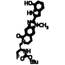 Cn1c(-c2cc3cccc(O)c3[nH]2)nc2cc3c(cc21)CCN(C[C@@H](CF)NC(=O)OC(C)(C)C)C3=O